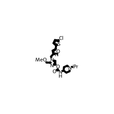 COCc1nc(OC(=O)NC2CCN(C(C)C)CC2)cn1Cc1cc(-c2ccc(Cl)s2)on1